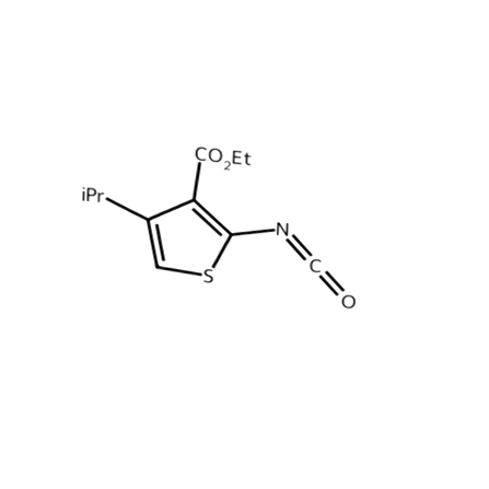 CCOC(=O)c1c(C(C)C)csc1N=C=O